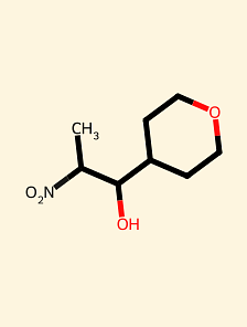 CC(C(O)C1CCOCC1)[N+](=O)[O-]